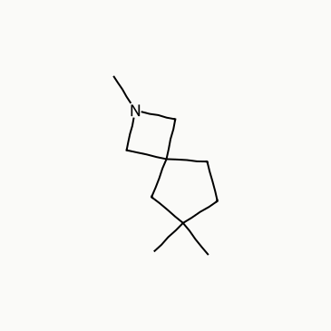 CN1CC2(CCC(C)(C)C2)C1